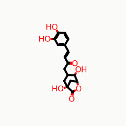 O=C(/C=C/c1ccc(O)c(O)c1)CC1CC2(O)CC(OC2=O)C1O